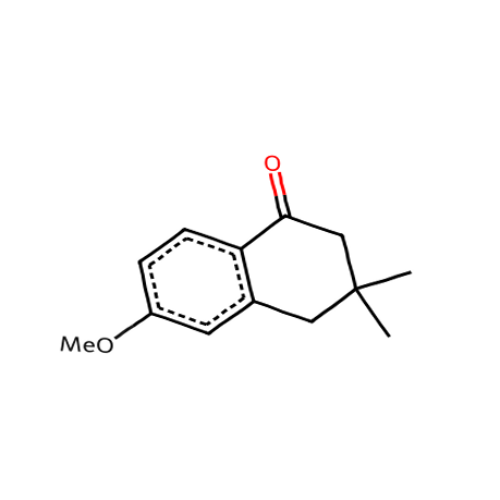 COc1ccc2c(c1)CC(C)(C)CC2=O